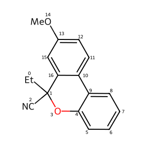 CCC1(C#N)Oc2ccccc2-c2ccc(OC)cc21